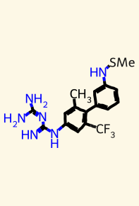 CSNc1cccc(-c2c(C)cc(NC(=N)N=C(N)N)cc2C(F)(F)F)c1